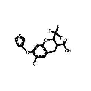 O=C(O)C1Cc2cc(Cl)c(Oc3ccsc3)cc2OC1C(F)(F)F